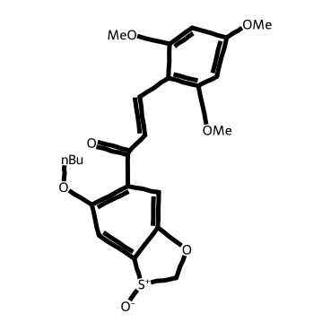 CCCCOc1cc2c(cc1C(=O)C=Cc1c(OC)cc(OC)cc1OC)OC[S+]2[O-]